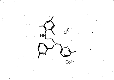 Cc1cc(C)c(NCCN(Cc2cccc(C)n2)Cc2cccc(C)n2)c(C)c1.[Cl-].[Cl-].[Co+2]